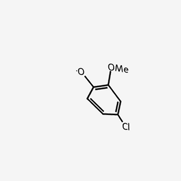 COc1cc(Cl)ccc1[O]